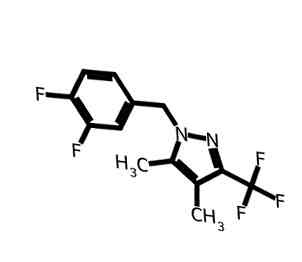 Cc1c(C(F)(F)F)nn(Cc2ccc(F)c(F)c2)c1C